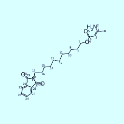 CC(N)=CC(=O)OCCCCCCCCCCCN1C(=O)c2ccccc2C1=O